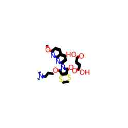 COc1ccc2ccc(N3C(=O)C4=C(SCCS4)C3OCCCN(C)C)nc2n1.O=C(O)C=CC(=O)O